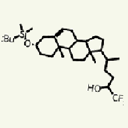 CC(CCC(O)C(F)(F)F)C1CCC2C3CC=C4C[C@@H](O[Si](C)(C)C(C)(C)C)CCC4(C)C3CCC12C